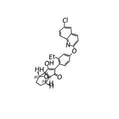 CCc1cc(Oc2ccc3cc(Cl)ccc3n2)ccc1C1=C(O)[C@H]2[C@@H](C1=O)[C@@H]1CC[C@H]2O1